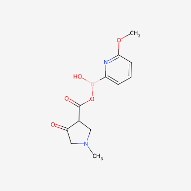 COc1cccc(B(O)OC(=O)C2CN(C)CC2=O)n1